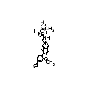 COc1cc(C2CCC2)ccc1-c1ccc2cnc(CNC(=O)OC(C)(C)C)cc2n1